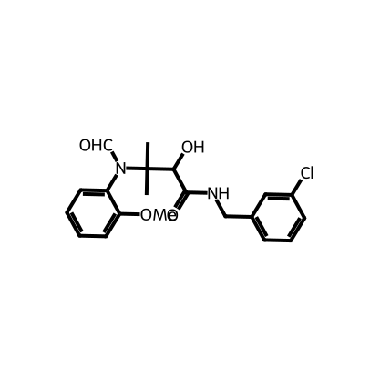 COc1ccccc1N(C=O)C(C)(C)C(O)C(=O)NCc1cccc(Cl)c1